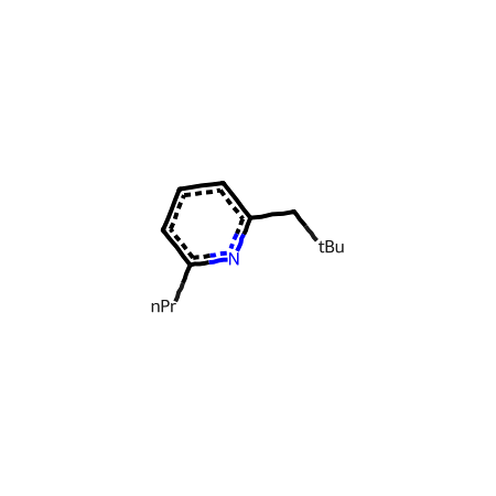 CCCc1cccc(CC(C)(C)C)n1